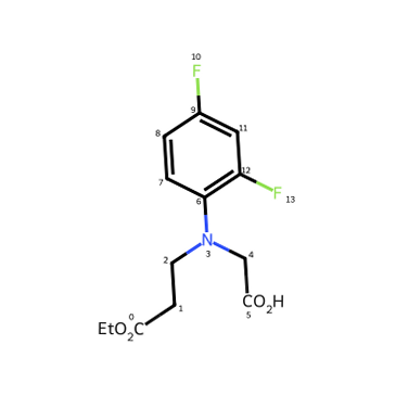 CCOC(=O)CCN(CC(=O)O)c1ccc(F)cc1F